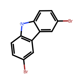 Brc1ccc2c(c1)-c1cc(Br)ccc1[N]2